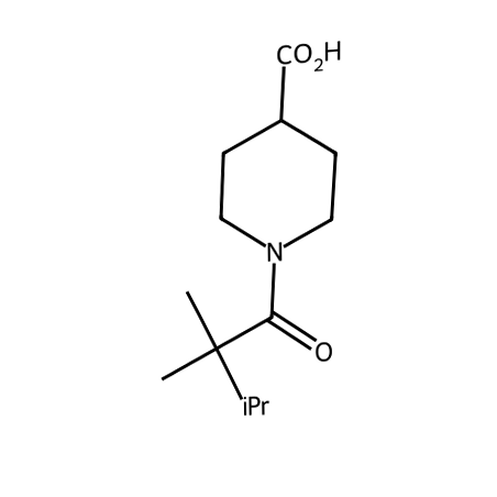 CC(C)C(C)(C)C(=O)N1CCC(C(=O)O)CC1